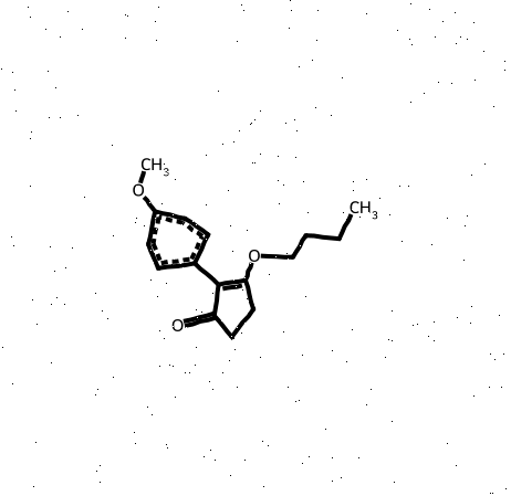 CCCCOC1=C(c2ccc(OC)cc2)C(=O)CC1